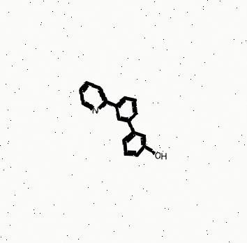 Oc1cccc(-c2cccc(-c3ccccn3)c2)c1